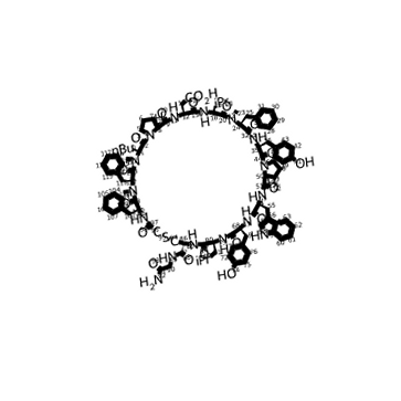 CCCC[C@H]1C(=O)N2CCC[C@@H]2C(=O)N[C@@H](CC(=O)O)C(=O)N[C@@H](C(C)C)C(=O)N(C)[C@@H](Cc2ccccc2)C(=O)N[C@@H](Cc2ccc(O)cc2)C(=O)N2CCC[C@@H]2C(=O)N[C@@H](Cc2c[nH]c3ccccc23)C(=O)N[C@@H](Cc2ccc(O)cc2)C(=O)N[C@@H](CC(C)C)C(=O)N[C@H](C(=O)NCC(N)=O)CSCC(=O)N[C@@H](Cc2ccccc2)C(=O)N(C)[C@@H](Cc2ccccc2)C(=O)N1C